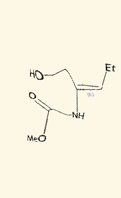 CC/C=C(\CO)NC(=O)OC